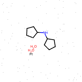 C1CCC(NC2CCCC2)C1.O.O.[Pt]